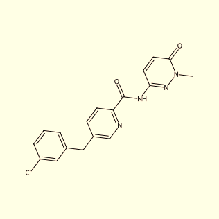 Cn1nc(NC(=O)c2ccc(Cc3cccc(Cl)c3)cn2)ccc1=O